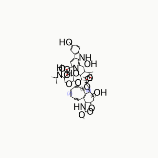 COC(=O)NC1C(=O)C[C@H](O)/C(=C/CS(C)=S)C2=C1C#C/C=C\C#C[C@@H]2OC1OC(C)C(C(O)c2nc(C(=O)OC)cc3c2[nH]c2ccc(O)cc23)C(O)C1OC1CC(OC)C(NC(C)C)CO1